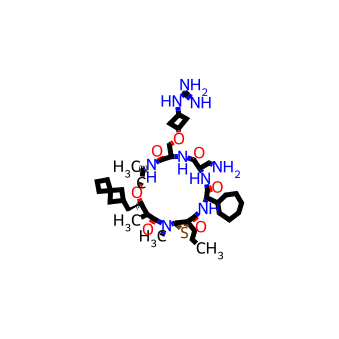 CCCC12SC1N(C)C(=O)C(C)[C@@H](CC1CC3(CCC3)C1)OC[C@@H](C)NC(=O)C(COC1CC(NC(=N)N)C1)NC(=O)C(CN)NC(=O)C(C1CCCCCC1)NC2=O